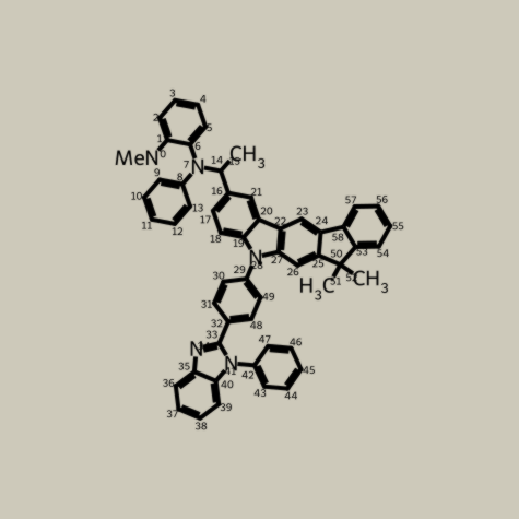 CNc1ccccc1N(c1ccccc1)C(C)c1ccc2c(c1)c1cc3c(cc1n2-c1ccc(-c2nc4ccccc4n2-c2ccccc2)cc1)C(C)(C)c1ccccc1-3